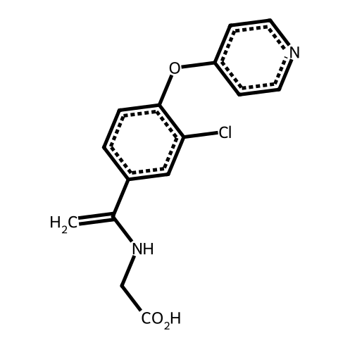 C=C(NCC(=O)O)c1ccc(Oc2ccncc2)c(Cl)c1